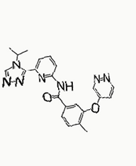 Cc1ccc(C(=O)Nc2cccc(-c3nncn3C(C)C)n2)cc1Oc1ccnnc1